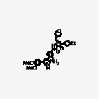 CCc1ccc(-c2cn(CC3CCOCC3)cc(C(=O)Nc3ccc(C4=CC(c5ccc(OC)c(OC)c5)=CNC4N)c(F)c3)c2=O)cc1